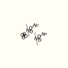 CCCCN(CCCC)C(=O)OCC[N+](C)(C)CC.CCCCN(CCCC)C(=O)OCC[N+](C)(C)CC.O=S(=O)([O-])[O-]